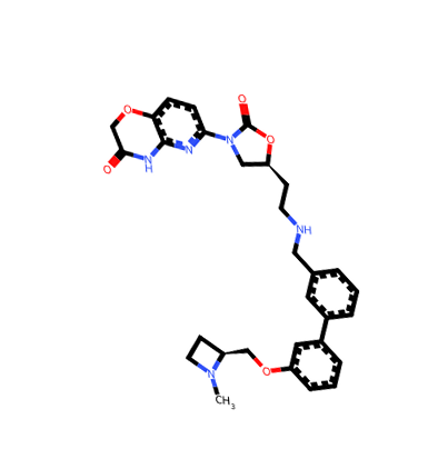 CN1CC[C@H]1COc1cccc(-c2cccc(CNCC[C@H]3CN(c4ccc5c(n4)NC(=O)CO5)C(=O)O3)c2)c1